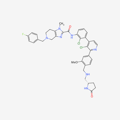 COc1cc(-c2nccc(-c3cccc(NC(=O)c4nc5c(n4C)CCN(Cc4ccc(F)cc4)C5)c3Cl)c2Cl)ccc1CNC[C@@H]1CCC(=O)N1